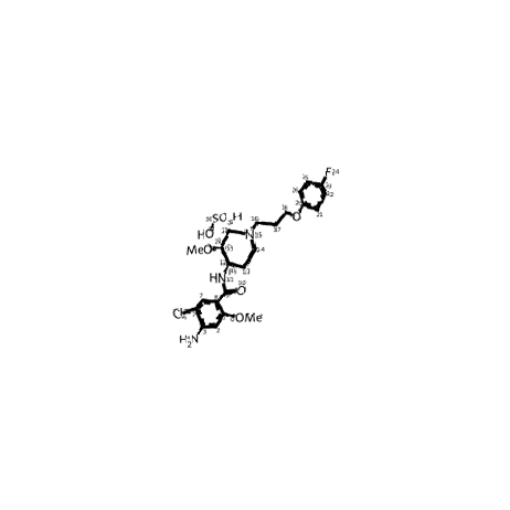 COc1cc(N)c(Cl)cc1C(=O)N[C@@H]1CCN(CCCOc2ccc(F)cc2)C[C@@H]1OC.O=S(=O)(O)O